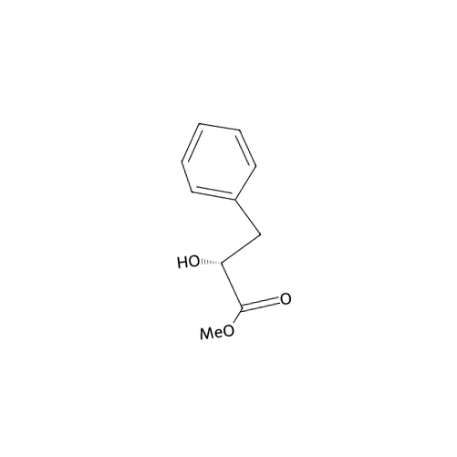 COC(=O)[C@H](O)Cc1ccccc1